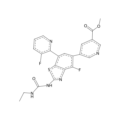 CCNC(=O)Nc1nc2c(F)c(-c3cncc(C(=O)OC)c3)cc(-c3ncccc3F)c2s1